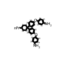 CCCC1CCC(c2ccc(Oc3ccc(N)cc3)cc2)(c2ccc(Oc3ccc(N)cc3)cc2)CC1